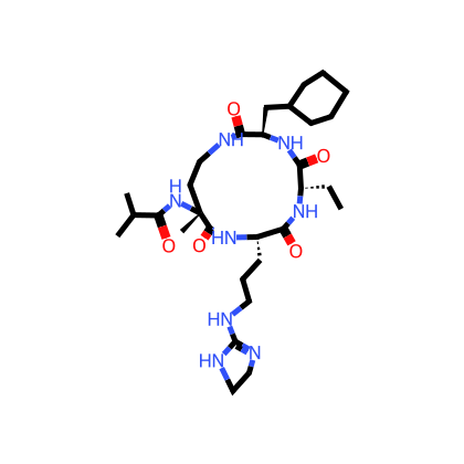 CC[C@@H]1NC(=O)[C@H](CCCNC2=NCCN2)NC(=O)[C@](C)(NC(=O)C(C)C)CCNC(=O)[C@@H](CC2CCCCC2)NC1=O